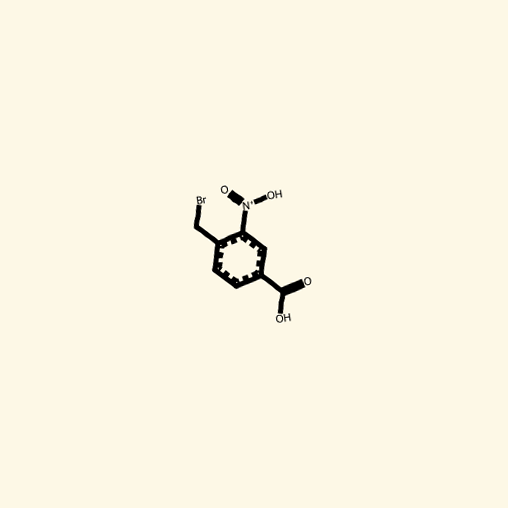 O=C(O)c1ccc(CBr)c([N+](=O)O)c1